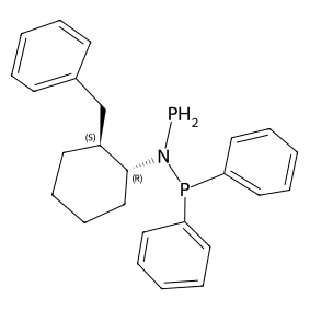 PN([C@@H]1CCCC[C@H]1Cc1ccccc1)P(c1ccccc1)c1ccccc1